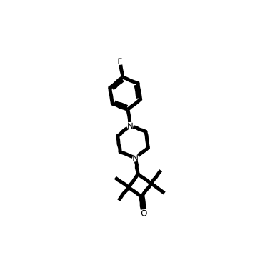 CC1(C)C(=O)C(C)(C)C1N1CCN(c2ccc(F)cc2)CC1